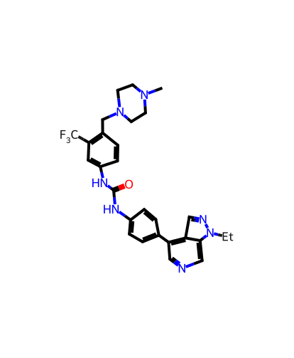 CCn1ncc2c(-c3ccc(NC(=O)Nc4ccc(CN5CCN(C)CC5)c(C(F)(F)F)c4)cc3)cncc21